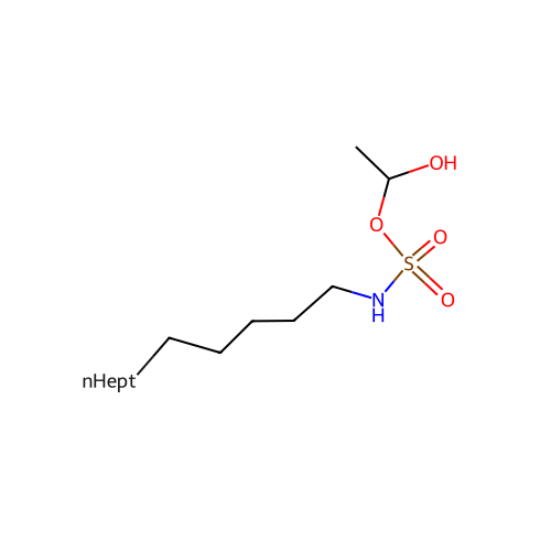 CCCCCCCCCCCCNS(=O)(=O)OC(C)O